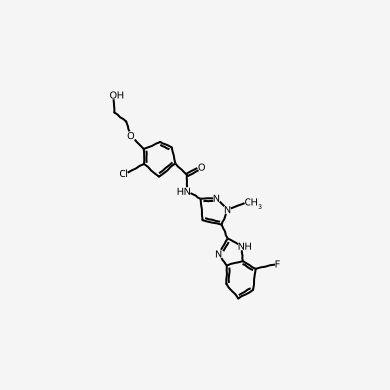 Cn1nc(NC(=O)c2ccc(OCCO)c(Cl)c2)cc1-c1nc2cccc(F)c2[nH]1